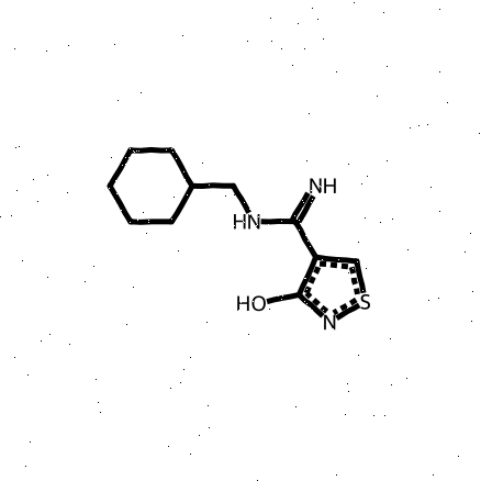 N=C(NCC1CCCCC1)c1csnc1O